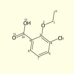 CCOc1c(Cl)cccc1C(=O)O